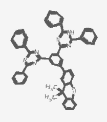 CC1(C)c2ccccc2OC2C=CC(c3cc(C4=NC(c5ccccc5)NC(c5ccccc5)=N4)cc(-c4nc(-c5ccccc5)nc(-c5ccccc5)n4)c3)=CC21